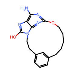 Nc1nc2nc3c1nc(O)n3CCc1cccc(c1)CCCCCO2